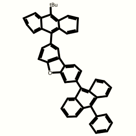 CC(C)(C)c1c2ccccc2c(-c2ccc3oc4cc(-c5c6ccccc6c(-c6ccccc6)c6ccccc56)ccc4c3c2)c2ccccc12